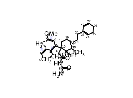 C\C=C/C(C)=C(\C=C(/C)OC)C1(CC(=O)NC(N)=O)CCN(CCC2=CCCC=C2)C(C)C1(O)CCC